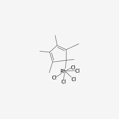 CC1=C(C)[C](C)([Rh]([Cl])([Cl])([Cl])([Cl])[Cl])C(C)=C1C